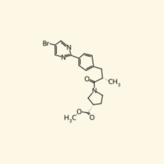 COC(=O)[C@H]1CCN(C(=O)[C@@H](C)Cc2ccc(-c3ncc(Br)cn3)cc2)C1